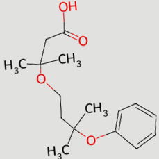 CC(C)(CC(=O)O)OCCC(C)(C)Oc1ccccc1